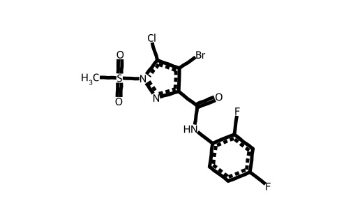 CS(=O)(=O)n1nc(C(=O)Nc2ccc(F)cc2F)c(Br)c1Cl